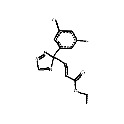 CCOC(=O)C=CC1(c2cc(F)cc(Cl)c2)N=CN=N1